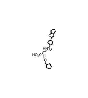 O=C(NCCC(OCOCc1ccccc1)C(=O)O)c1ccc(-c2cc3ccccc3o2)cc1